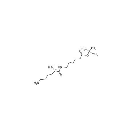 CC(C)(C)OC(=O)CCCCCNC(=O)[C@@H](N)CCCCN